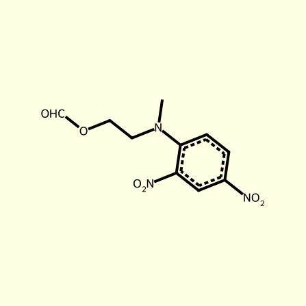 CN(CCOC=O)c1ccc([N+](=O)[O-])cc1[N+](=O)[O-]